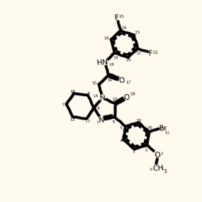 COc1ccc(C2=NC3(CCCCC3)N(CC(=O)Nc3cc(F)cc(F)c3)C2=O)cc1Br